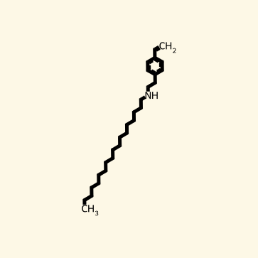 C=Cc1ccc(CCNCCCCCCCCCCCCCCCCCC)cc1